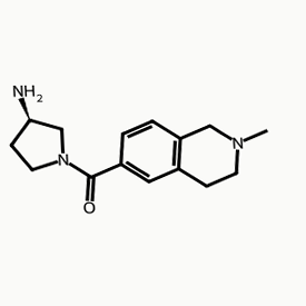 CN1CCc2cc(C(=O)N3CC[C@@H](N)C3)ccc2C1